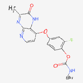 Cc1nc2nccc(Oc3ccc(OC(=O)NC(C)(C)C)c(F)c3)c2[nH]c1=O